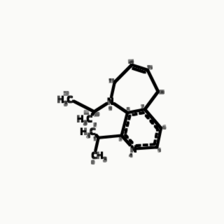 CC(C)c1nccc2c1N(C(C)C)CC=CC2